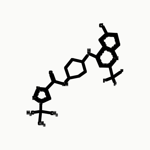 CC(C)(C)n1cc(C(=O)NC2CCC(Nc3cc(C(F)(F)F)nc4ccc(Cl)cc34)CC2)nn1